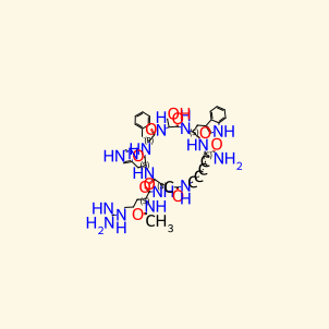 CC(=O)N[C@@H](CCCNC(=N)N)C(=O)N[C@H]1CC(=O)NCCCC[C@@H](C(N)=O)NC(=O)[C@H](Cc2c[nH]c3ccccc23)NC(=O)C(CO)NC(=O)[C@@H](Cc2ccccc2)NC(=O)[C@H](Cc2c[nH]cn2)NC1=O